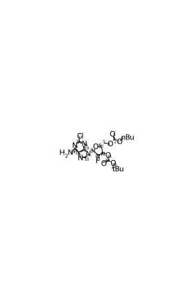 CCCCOC(=O)OC[C@H]1O[C@@H](n2cnc3c(N)nc(Cl)nc32)[C@@H](F)[C@@H]1OC(=O)OC(C)(C)C